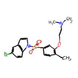 Cc1ccc(S(=O)(=O)n2ccc3cc(Br)ccc32)cc1OCCN(C)C